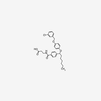 CCCCCCC(Oc1ccc(OCc2cccc(Cl)c2)cc1)c1ccc(C(=O)NCCC(=O)O)cc1